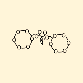 [N-]=[N+]=C(C(=O)OCC1COCCOCCOCCOCCOCCO1)C(=O)OCC1COCCOCCOCCOCCOCCO1